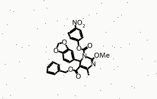 COC1=NC(C)=C(C(=O)OCc2ccccc2)C(c2ccc3c(c2)OCO3)N1C(=O)Oc1ccc([N+](=O)[O-])cc1